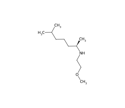 COCCN[C@H](C)CCCC(C)C